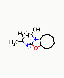 CC(C)/N=C1/OC2CCCCCCC2N1C(C)C